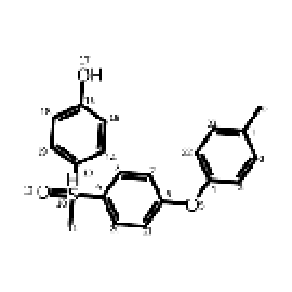 Cc1ccc(Oc2ccc([SH](C)(=O)c3ccc(O)cc3)cc2)cc1